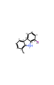 Cc1cccc2c1[nH]c1c(I)cccc12